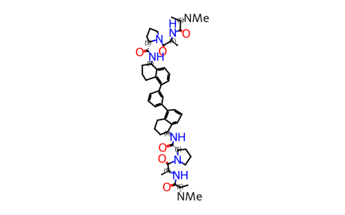 CN[C@@H](C)C(=O)N[C@@H](C)C(=O)N1CCC[C@H]1C(=O)N[C@@H]1CCCc2c(-c3cccc(-c4cccc5c4CCC[C@H]5NC(=O)[C@@H]4CCCN4C(=O)[C@H](C)NC(=O)[C@H](C)NC)c3)cccc21